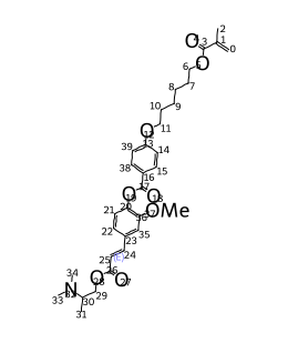 C=C(C)C(=O)OCCCCCCOc1ccc(C(=O)Oc2ccc(/C=C/C(=O)OCC(C)N(C)C)cc2OC)cc1